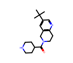 CC(C)(C)c1cnc2c(c1)CN(C(=O)C1CCNCC1)CC2